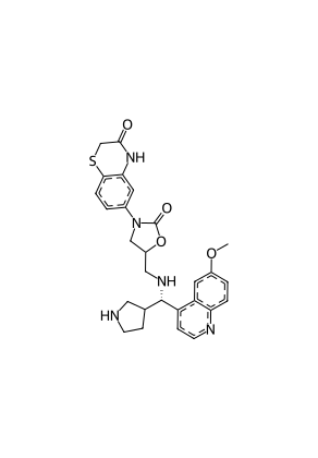 COc1ccc2nccc([C@@H](NCC3CN(c4ccc5c(c4)NC(=O)CS5)C(=O)O3)C3CCNC3)c2c1